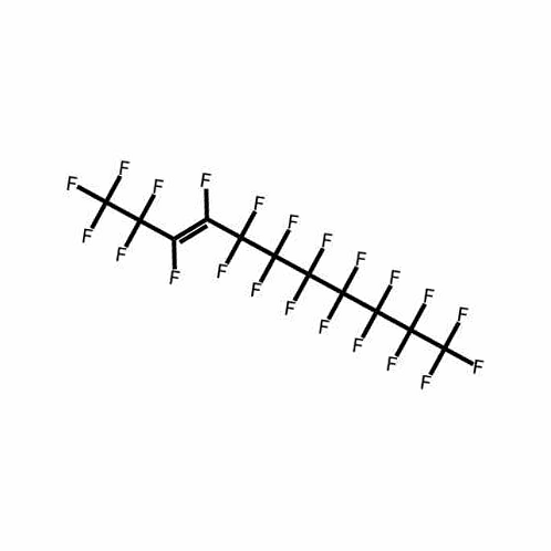 FC(=C(F)C(F)(F)C(F)(F)C(F)(F)C(F)(F)C(F)(F)C(F)(F)C(F)(F)F)C(F)(F)C(F)(F)F